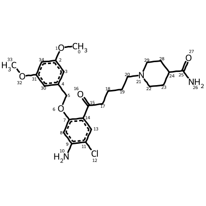 COc1cc(COc2cc(N)c(Cl)cc2C(=O)CCCCN2CCC(C(N)=O)CC2)cc(OC)c1